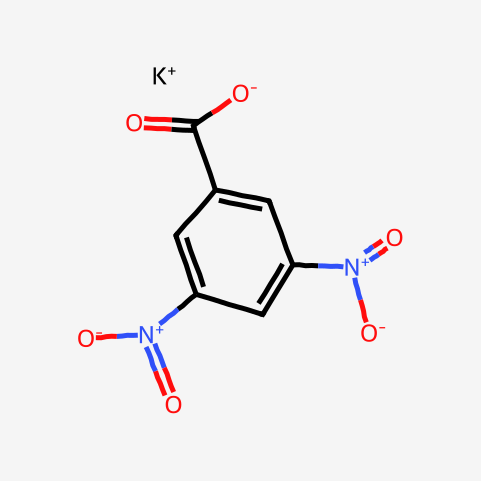 O=C([O-])c1cc([N+](=O)[O-])cc([N+](=O)[O-])c1.[K+]